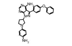 Nc1[c]cc(N2CCC(n3nc(-c4ccc(Oc5ccccc5)cc4)c4c(N)ncnc43)C2)cc1